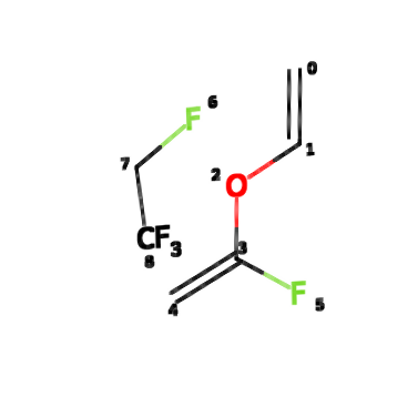 C=COC(=C)F.FCC(F)(F)F